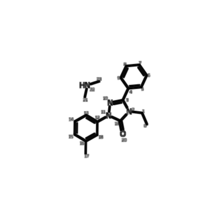 CCn1c(-c2ccccc2)nn(-c2cccc(C)c2)c1=O.CNC